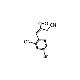 N#CC/C(C=O)=C\c1ccc(Br)cc1N=O